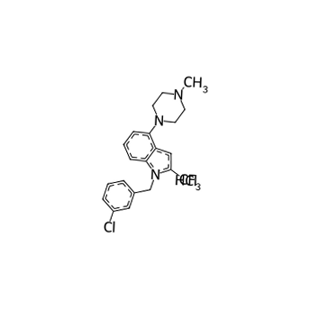 CN1CCN(c2cccc3c2cc(C(F)(F)F)n3Cc2cccc(Cl)c2)CC1.Cl